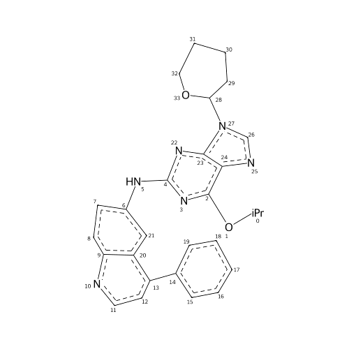 CC(C)Oc1nc(Nc2ccc3nccc(-c4ccccc4)c3c2)nc2c1ncn2C1CCCCO1